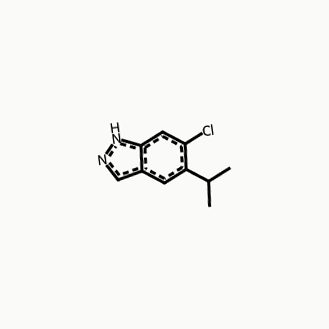 CC(C)c1cc2cn[nH]c2cc1Cl